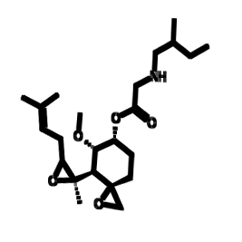 CCC(C)CNCC(=O)O[C@@H]1CC[C@]2(CO2)[C@@H]([C@@]2(C)OC2CC=C(C)C)[C@@H]1OC